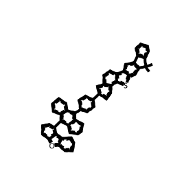 CC1(C)c2ccccc2-c2cc3c(cc21)sc1c2ccc(-c4ccc(-c5c6ccccc6c(-c6cccc7oc8ccccc8c67)c6ccccc56)cc4)cc2ccc31